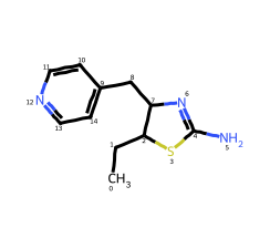 CCC1SC(N)=NC1Cc1ccncc1